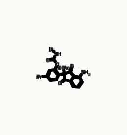 CCNC(=O)Oc1cc(C(C)C)ccc1C1(NC(C)=O)C(=O)c2cccc(N)c2C1=O